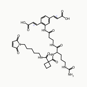 NC(=O)NCCCC(NC(=O)C1(C(=O)NCCCCCN2C(=O)C=CC2=O)CCC1)C(=O)NCCC(=O)Nc1cc(/C=C/C(=O)O)ccc1/C=C/C(=O)O